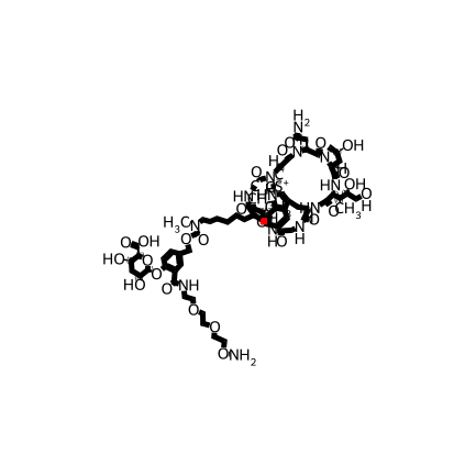 CC[C@H](C)[C@H]1NC(=O)CNC(=O)[C@@H]2Cc3c4[nH]c5cc(ccc35)OC1(CCCCCCN(C)C(=O)OCc1ccc(O[C@@H]3O[C@H](C(=O)O)[C@@H](O)C[C@H]3O)c(C(=O)NCCOCCOCCON)c1)C(=O)NCC(=O)N[C@@H](C[S+]4[O-])C(=O)N[C@@H](CC(N)=O)C(=O)N1C[C@H](O)C[C@H]1C(=O)N[C@@H]([C@@H](C)[C@@H](O)CO)C(=O)N2